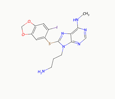 CNc1ncnc2c1nc(Sc1cc3c(cc1I)OCO3)n2CCCN